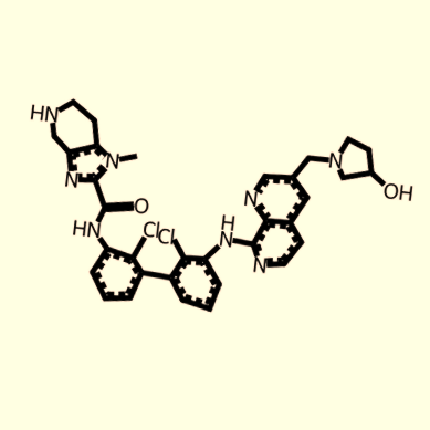 Cn1c(C(=O)Nc2cccc(-c3cccc(Nc4nccc5cc(CN6CCC(O)C6)cnc45)c3Cl)c2Cl)nc2c1CCNC2